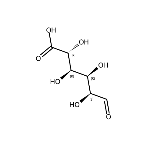 O=C[C@@H](O)[C@H](O)[C@@H](O)[C@@H](O)C(=O)O